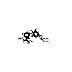 Cc1cc(NCC(=O)O)cc(Br)c1Oc1ccc2[nH]cc(C(C)C)c2c1